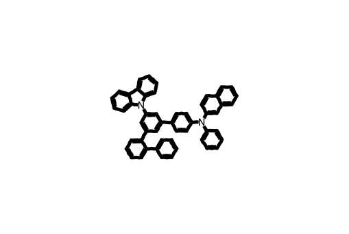 c1ccc(-c2ccccc2-c2cc(-c3ccc(N(c4ccccc4)c4ccc5ccccc5c4)cc3)cc(-n3c4ccccc4c4ccccc43)c2)cc1